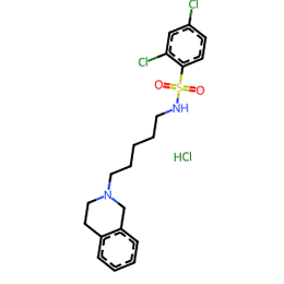 Cl.O=S(=O)(NCCCCCN1CCc2ccccc2C1)c1ccc(Cl)cc1Cl